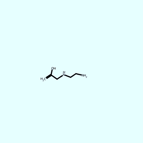 C=C(O)CNCCN